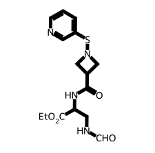 CCOC(=O)C(CNC=O)NC(=O)C1CN(Sc2cccnc2)C1